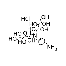 Cl.NCc1ccc(CN(CC(O)C(O)C(O)C(O)CO)CC(O)C(O)C(O)C(O)CO)cc1